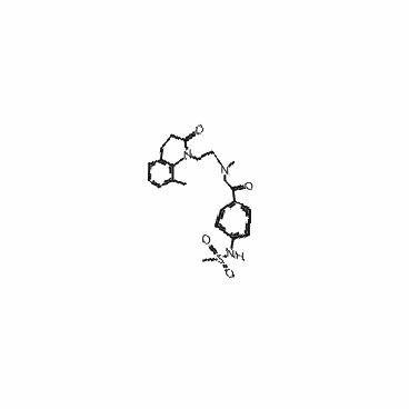 Cc1cccc2c1N(CCN(C)CC(=O)c1ccc(NS(C)(=O)=O)cc1)C(=O)CC2